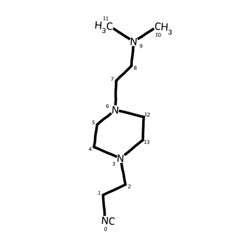 [C-]#[N+]CCN1CCN(CCN(C)C)CC1